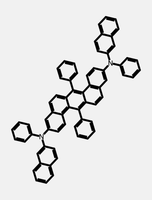 c1ccc(-c2c3ccc4cc(N(c5ccccc5)c5ccc6ccccc6c5)ccc4c3c(-c3ccccc3)c3ccc4cc(N(c5ccccc5)c5ccc6ccccc6c5)ccc4c23)cc1